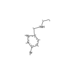 CCNCc1ccc(Br)nn1